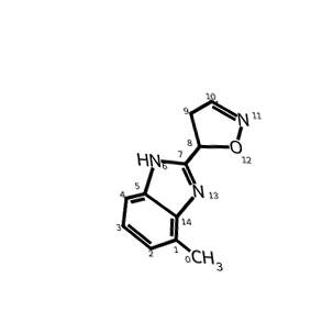 Cc1cccc2[nH]c(C3C[C]=NO3)nc12